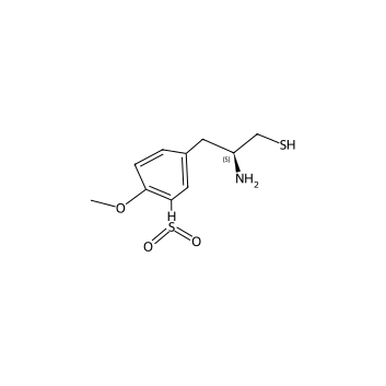 COc1ccc(C[C@H](N)CS)cc1[SH](=O)=O